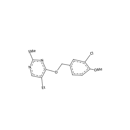 CCc1cnc(SC)nc1OCc1ccc(OC)c(Cl)c1